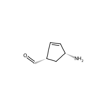 N[C@H]1C=C[C@@H](C=O)C1